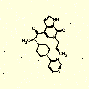 C=CCn1cc(C(=O)N(C)C2CCN(c3ccncn3)CC2)c2cc[nH]c2c1=O